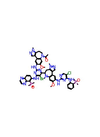 COc1cc2c(cc1Nc1ncc(Cl)c(Nc3ccccc3P(C)(C)=O)n1)-c1cnn(C)c1CC(c1nc(Nc3cc4c(cc3OC)N(C(C)=O)CCc3c-4cnn3C)nc(Nc3ccc4nccnc4c3P(C)(C)=O)c1Br)N2C